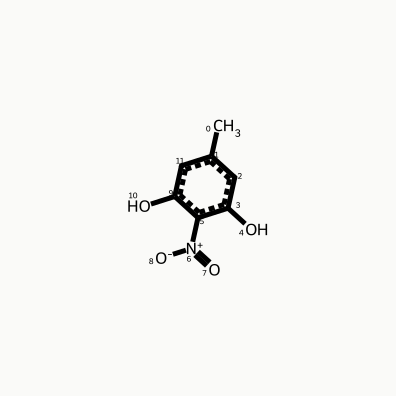 Cc1cc(O)c([N+](=O)[O-])c(O)c1